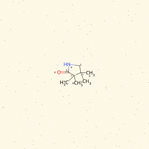 CC1(C)CNC(=O)C1(C)C